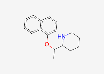 CC(Oc1cccc2ccccc12)C1CCCCN1